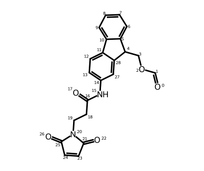 O=COCC1c2ccccc2-c2ccc(NC(=O)CCN3C(=O)C=CC3=O)cc21